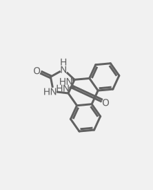 O=C1NC23NC(=O)NC2(N1)c1ccccc1-c1ccccc13